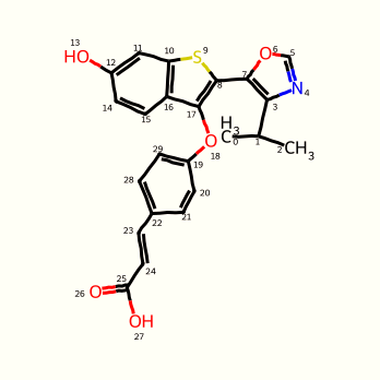 CC(C)c1ncoc1-c1sc2cc(O)ccc2c1Oc1ccc(C=CC(=O)O)cc1